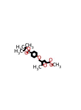 COC(=O)c1cc(COc2ccc(B3OC(C)C(C)(C)O3)cc2)c(C)o1